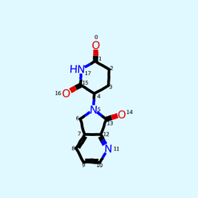 O=C1CCC(N2Cc3cccnc3C2=O)C(=O)N1